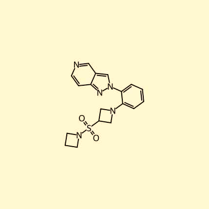 O=S(=O)(C1CN(c2ccccc2-n2cc3cnccc3n2)C1)N1CCC1